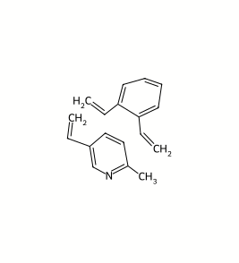 C=Cc1ccc(C)nc1.C=Cc1ccccc1C=C